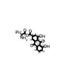 CC(C)[C@H](N)C(=O)OC(=O)c1cc(O)c2c(c1)C(=O)c1cccc(O)c1C2=O